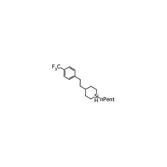 CCCCC[SiH]1CCC(CCc2ccc(C(F)(F)F)cc2)CC1